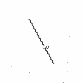 CCCCCCCCC=CC(=O)OCCCCCCCCCCCCCCCCCC